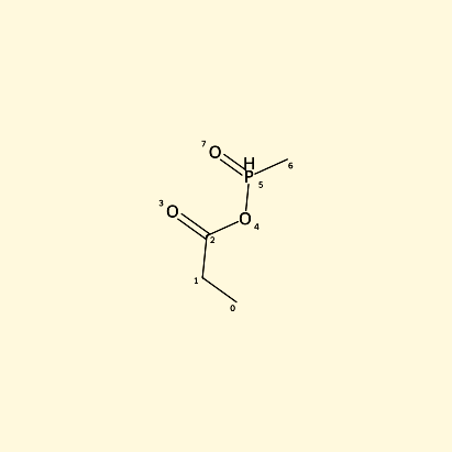 CCC(=O)O[PH](C)=O